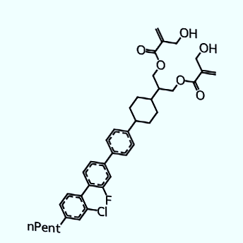 C=C(CO)C(=O)OCC(COC(=O)C(=C)CO)C1CCC(c2ccc(-c3ccc(-c4ccc(CCCCC)cc4Cl)c(F)c3)cc2)CC1